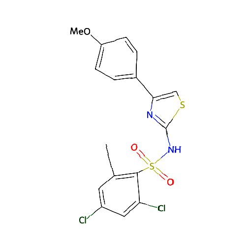 COc1ccc(-c2csc(NS(=O)(=O)c3c(C)cc(Cl)cc3Cl)n2)cc1